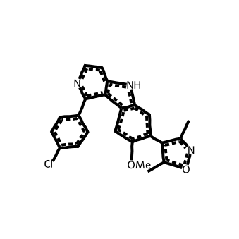 COc1cc2c(cc1-c1c(C)noc1C)[nH]c1ccnc(-c3ccc(Cl)cc3)c12